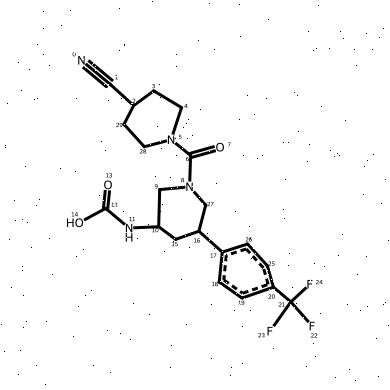 N#CC1CCN(C(=O)N2CC(NC(=O)O)CC(c3ccc(C(F)(F)F)cc3)C2)CC1